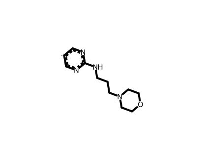 [c]1cnc(NCCCN2CCOCC2)nc1